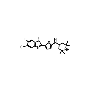 CC1(C)CC(Nc2ccc(-c3nc4cc(Cl)c(F)cc4[nH]3)s2)CC(C)(C)N1